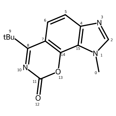 Cn1cnc2ccc3c(C(C)(C)C)nc(=O)oc3c21